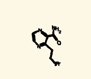 CC(C)CCc1nccnc1C(N)=O